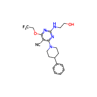 N#Cc1c(OCC(F)(F)F)nc(NCCO)nc1N1CCC(c2ccccc2)CC1